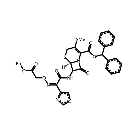 CSC1=C(C(=O)OC(c2ccccc2)c2ccccc2)N2C(=O)C(NC(=O)/C(=N\OCC(=O)OC(C)(C)C)c3cscn3)[C@H]2SC1